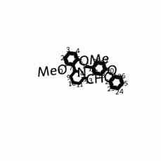 COc1cccc(OC)c1C1CCCC(C=O)N1Cc1ccc(Oc2ccccc2)cc1